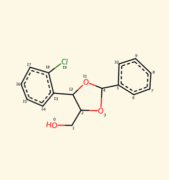 OCC1OC(c2ccccc2)OC1c1ccccc1Cl